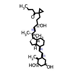 C=C1/C(=C\C=C2/CCC[C@]3(C)[C@@H]([C@H](C)/C=C/[C@@H](O)CCC4(C(=O)CCC)CC4)CC[C@@H]23)C[C@@H](O)C[C@@H]1O